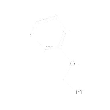 CC(C)COc1cc[c]cc1